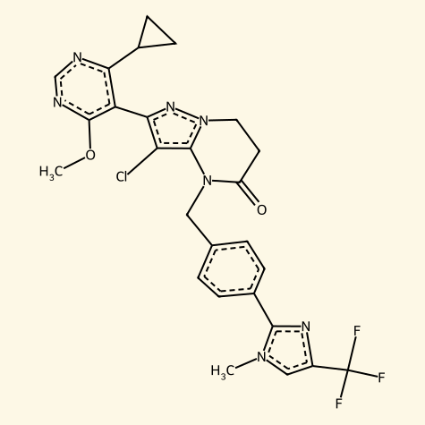 COc1ncnc(C2CC2)c1-c1nn2c(c1Cl)N(Cc1ccc(-c3nc(C(F)(F)F)cn3C)cc1)C(=O)CC2